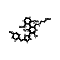 COCCOCc1nc(O)c(-c2nnc(Cc3ccc(Cl)cn3)o2)c(O)c1-c1c(OC)cccc1OC